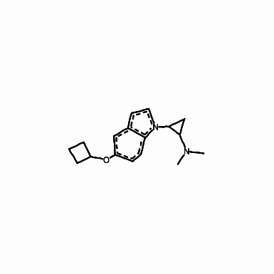 CN(C)C1CC1n1ccc2cc(OC3CCC3)ccc21